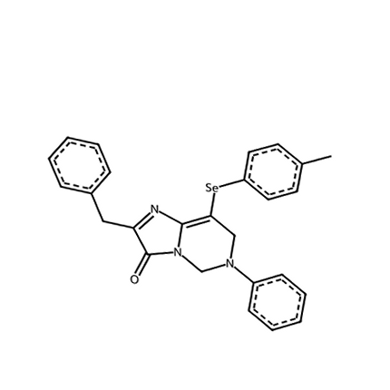 Cc1ccc([Se]C2=C3N=C(Cc4ccccc4)C(=O)N3CN(c3ccccc3)C2)cc1